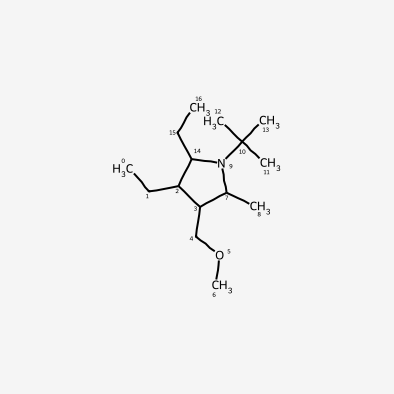 CCC1C(COC)C(C)N(C(C)(C)C)C1CC